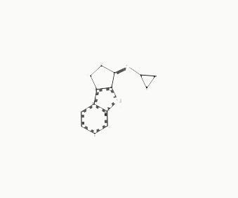 c1ccc2c3c([nH]c2c1)C(=NC1CC1)CC3